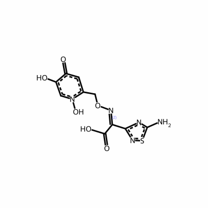 Nc1nc(/C(=N/OCc2cc(=O)c(O)cn2O)C(=O)O)ns1